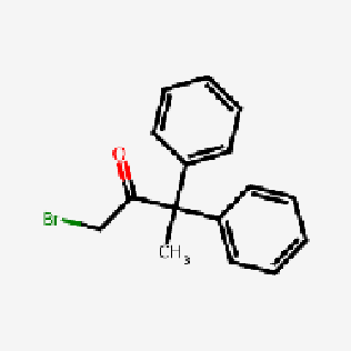 CC(C(=O)CBr)(c1ccccc1)c1ccccc1